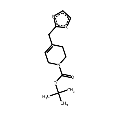 CC(C)(C)OC(=O)N1CC=C(Cc2nccs2)CC1